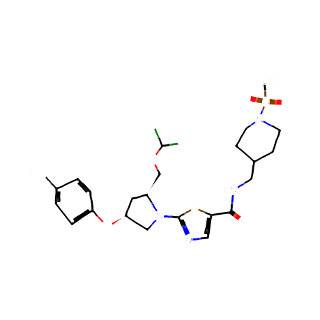 CS(=O)(=O)N1CCC(CNC(=O)c2cnc(N3C[C@@H](Oc4ccc(C(F)(F)F)cc4)C[C@H]3COC(F)F)s2)CC1